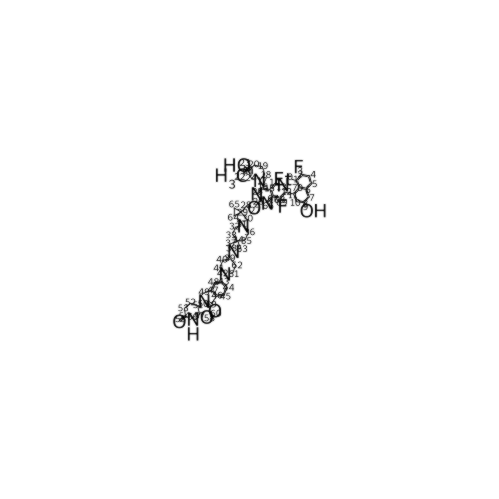 CCc1c(F)ccc2cc(O)cc(-c3ncc4c(N5CCC[C@@](C)(O)C5)nc(OCC5(CN6CCC7(CC6)CN(C6CCN(c8ccc9c(c8)CN(C8CCC(=O)NC8=O)C9=O)CC6)C7)CC5)nc4c3F)c12